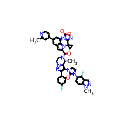 Cc1cc(-c2ccc3c(c2)cc(C(=O)N2CCn4nc(-c5ccc(F)cc5)c(-n5ccn(-c6ccc7c(cnn7C)c6F)c5=O)c4[C@@H]2C)n3C2(c3noc(=O)[nH]3)CC2)ccn1